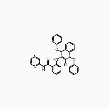 O=C(Nc1cnccn1)c1ccccc1NC1=C(Cl)C(Oc2ccccc2)c2ccccc2C1Oc1ccccc1